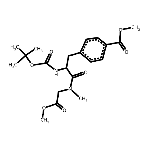 COC(=O)CN(C)C(=O)C(Cc1ccc(C(=O)OC)cc1)NC(=O)OC(C)(C)C